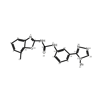 Cc1cccc2nc(NC(=O)Nc3cccc(-c4nncn4C(C)C)c3)sc12